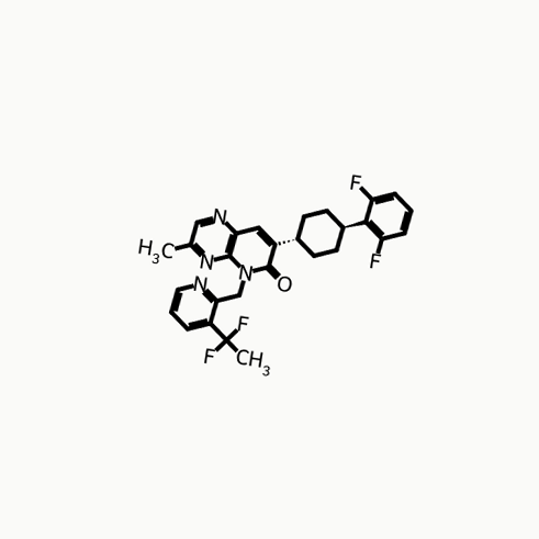 Cc1cnc2cc([C@H]3CC[C@H](c4c(F)cccc4F)CC3)c(=O)n(Cc3ncccc3C(C)(F)F)c2n1